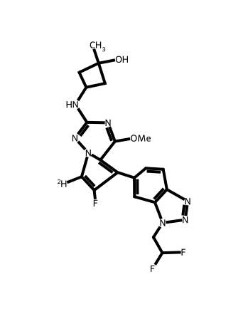 [2H]c1c(F)c(-c2ccc3nnn(CC(F)F)c3c2)c2c(OC)nc(NC3CC(C)(O)C3)nn12